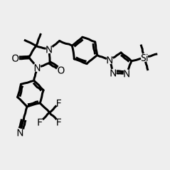 CC1(C)C(=O)N(c2ccc(C#N)c(C(F)(F)F)c2)C(=O)N1Cc1ccc(-n2cc([Si](C)(C)C)nn2)cc1